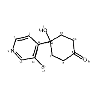 O=C1CCC(O)(c2ccncc2Br)CC1